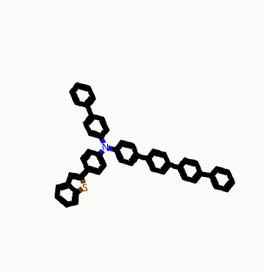 c1ccc(-c2ccc(-c3ccc(-c4ccc(N(c5ccc(-c6ccccc6)cc5)c5ccc(-c6cc7ccccc7s6)cc5)cc4)cc3)cc2)cc1